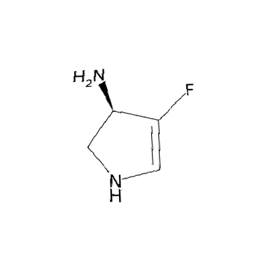 N[C@@H]1CNC=C1F